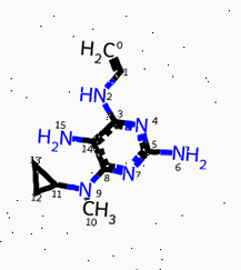 C=CNc1nc(N)nc(N(C)C2CC2)c1N